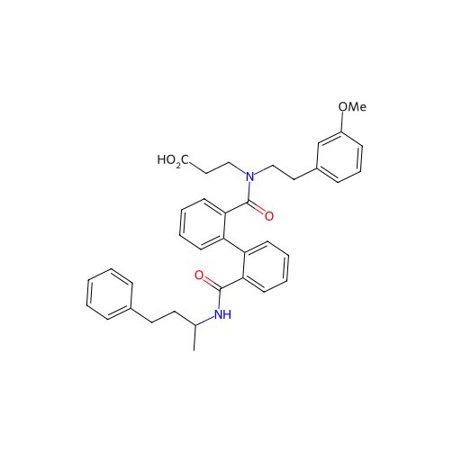 COc1cccc(CCN(CCC(=O)O)C(=O)c2ccccc2-c2ccccc2C(=O)NC(C)CCc2ccccc2)c1